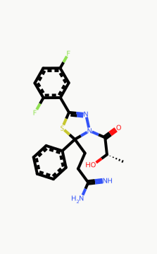 C[C@H](O)C(=O)N1N=C(c2cc(F)ccc2F)SC1(CCC(=N)N)c1ccccc1